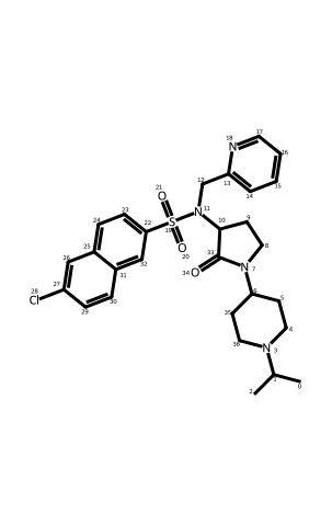 CC(C)N1CCC(N2CCC(N(Cc3ccccn3)S(=O)(=O)c3ccc4cc(Cl)ccc4c3)C2=O)CC1